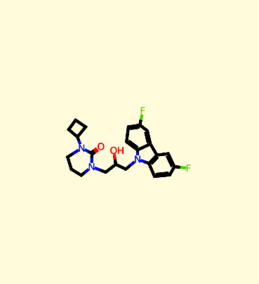 O=C1N(CC(O)Cn2c3ccc(F)cc3c3cc(F)ccc32)CCCN1C1CCC1